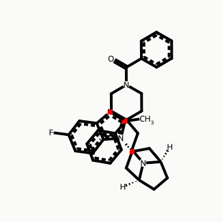 Cc1nc2cc(F)ccc2n1[C@@H]1C[C@H]2CC[C@@H](C1)N2CCC1(c2ccccc2)CCN(C(=O)c2ccccc2)CC1